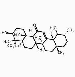 C[C@H]1[C@H](C)CC[C@]2(C)CC[C@]3(C)C(=CC(=O)[C@@H]4[C@@]5(C)CC[C@H](O)[C@](C)(C(=O)O)[C@@H]5CC[C@]43C)[C@H]12